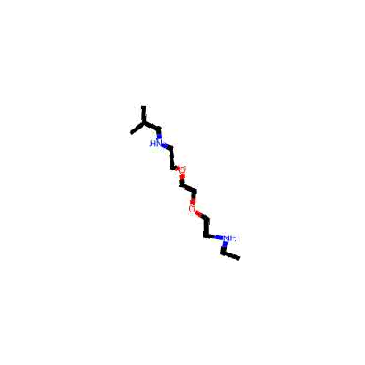 CCNCCOCCOCCNCC(C)C